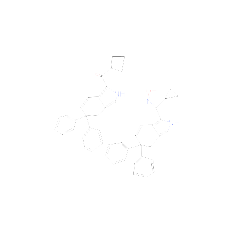 O=C(c1[nH]cc2c1C=CC(c1ccccc1)(c1ccccc1)C2)C1CCC1.ON=C(c1[nH]cc2c1C=CC(c1ccccc1)(c1ccccc1)C2)C1CC1